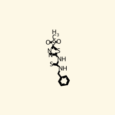 CS(=O)(=O)c1nnc(NC(=S)NCc2ccccc2)s1